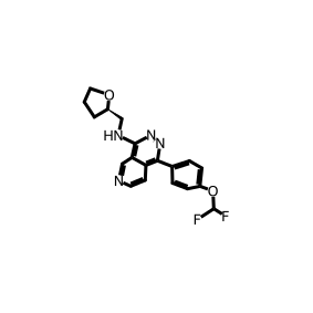 FC(F)Oc1ccc(-c2nnc(NC[C@H]3CCCO3)c3cnccc23)cc1